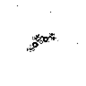 CC1(C)C(=O)N(c2ccc(SC(F)(F)F)cc2)C(=O)N1Cc1ccnc(C(=N)N)c1